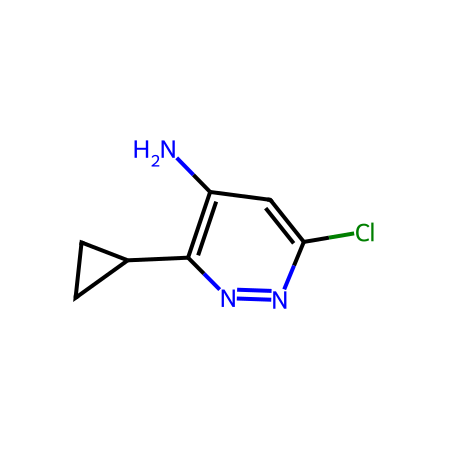 Nc1cc(Cl)nnc1C1CC1